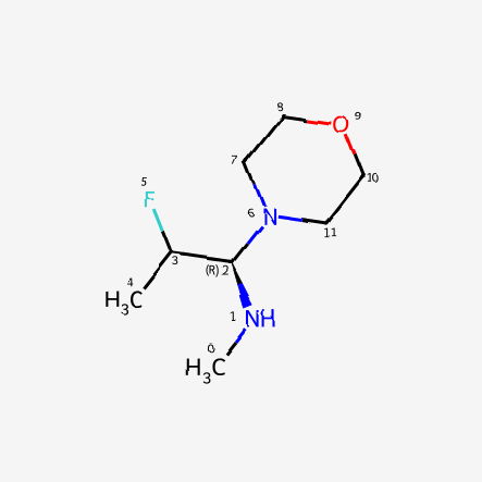 CN[C@@H](C(C)F)N1CCOCC1